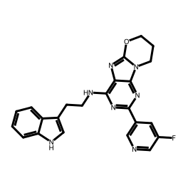 Fc1cncc(-c2nc(NCCc3c[nH]c4ccccc34)c3nc4n(c3n2)CCCO4)c1